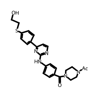 CC(=O)N1CCN(C(=O)c2ccc(Nc3nccc(-c4ccc(SCCO)cc4)n3)cc2)CC1